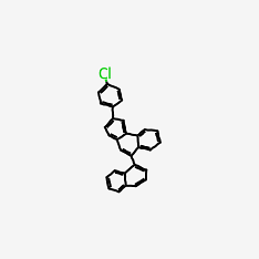 Clc1ccc(-c2ccc3cc(-c4cccc5ccccc45)c4ccccc4c3c2)cc1